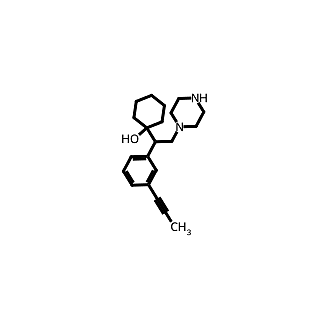 CC#Cc1cccc(C(CN2CCNCC2)C2(O)CCCCC2)c1